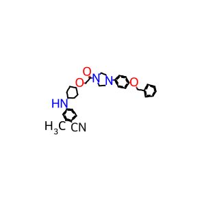 Cc1cc(NC2CCC(OCC(=O)N3CCN(c4ccc(OCc5ccccc5)cc4)CC3)CC2)ccc1C#N